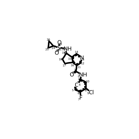 O=C(Nc1ccc(F)c(Cl)c1)c1cncc2c1CC[C@H]2NS(=O)(=O)C1CC1